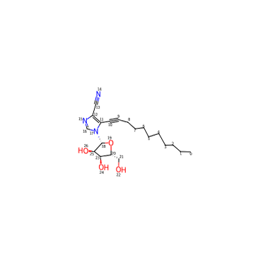 CCCCCCCCCC#Cc1c(C#N)ncn1[C@@H]1O[C@H](CO)[C@@H](O)[C@H]1O